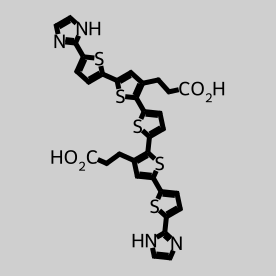 O=C(O)CCc1cc(-c2ccc(-c3ncc[nH]3)s2)sc1-c1ccc(-c2sc(-c3ccc(-c4ncc[nH]4)s3)cc2CCC(=O)O)s1